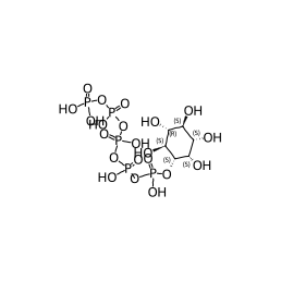 O=P(O)(O)OP(=O)(O)OP(=O)(O)OP(=O)(O)OP(=O)(O)O[C@@H]1[C@@H](O)[C@H](O)[C@@H](O)[C@H](O)[C@@H]1O